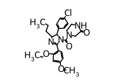 CCCC1N=C(c2ccc(OC)cc2OCC)N(C(=O)N2CCNC(=O)C2)C1c1ccc(Cl)cc1